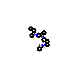 C1=CCC(C2Nc3c(ccc4ccc5cc(-n6c7ccccc7c7cc(-n8c9ccccc9c9c%10ccccc%10ccc98)ccc76)ccc5c34)S2)C=C1